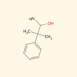 CCCC(O)C(C)(C)c1ccccc1